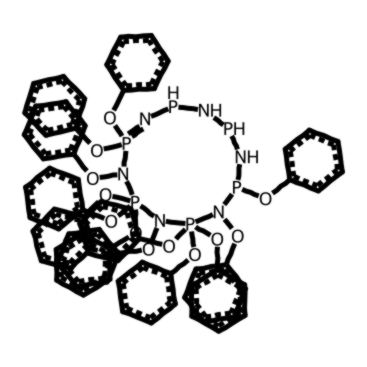 c1ccc(ON2P(Oc3ccccc3)NPNPN=P(Oc3ccccc3)(Oc3ccccc3)N(Oc3ccccc3)P(Oc3ccccc3)(Oc3ccccc3)(Oc3ccccc3)N(Oc3ccccc3)P2(Oc2ccccc2)(Oc2ccccc2)Oc2ccccc2)cc1